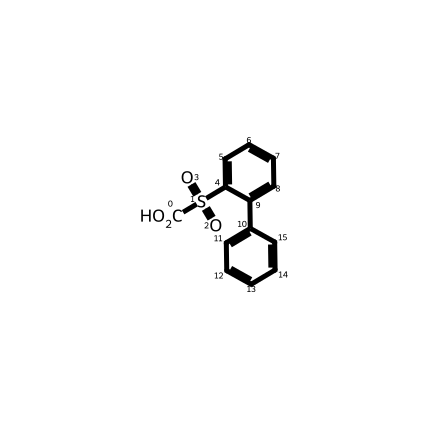 O=C(O)S(=O)(=O)c1ccccc1-c1ccccc1